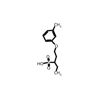 CCC(CCOc1cccc(C)c1)S(=O)(=O)O